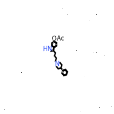 CC(=O)Oc1ccc2c(CCCCN3CCC(c4ccccc4)CC3)c[nH]c2c1